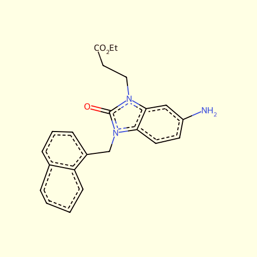 CCOC(=O)CCn1c(=O)n(Cc2cccc3ccccc23)c2ccc(N)cc21